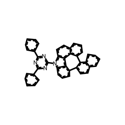 c1ccc(-c2nc(-c3ccccc3)nc(-n3c4cccc5c4c4c6c(cccc6ccc43)-c3c-5ccc4ccccc34)n2)cc1